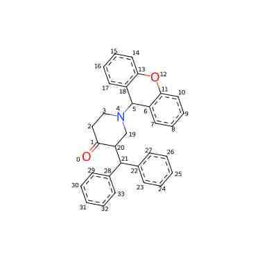 O=C1CCN(C2c3ccccc3Oc3ccccc32)CC1C(c1ccccc1)c1ccccc1